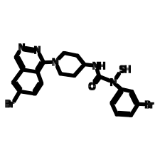 O=C(NC1CCN(c2nncc3cc(Br)ccc23)CC1)N(S)c1cccc(Br)c1